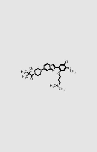 COc1cc(OCCCN(C)C)c(-c2cn3ccc(N4CCN(C(=O)C(C)(C)C)CC4)cc3n2)cc1Cl